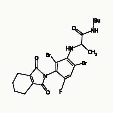 CCC(C)NC(=O)C(C)Nc1c(Br)cc(F)c(N2C(=O)C3=C(CCCC3)C2=O)c1Br